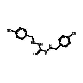 N#Cc1ccc(CNNC(=N)NNCc2ccc(C#N)cc2)cc1